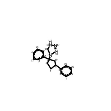 c1ccc(C2CCC(c3ccccc3)(N3CNN=N3)C2)cc1